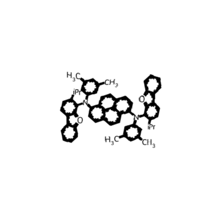 Cc1cc(C)cc(N(c2ccc3ccc4c(N(c5cc(C)cc(C)c5)c5c(C(C)C)ccc6c5oc5ccccc56)ccc5ccc2c3c54)c2c(C(C)C)ccc3c2oc2ccccc23)c1